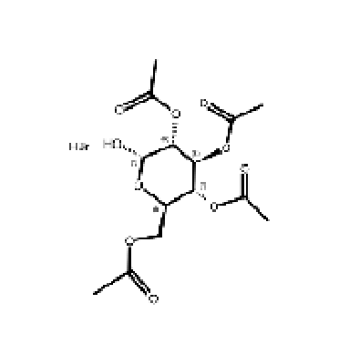 Br.CC(=O)OC[C@H]1O[C@H](O)[C@H](OC(C)=O)[C@@H](OC(C)=O)[C@@H]1OC(C)=O